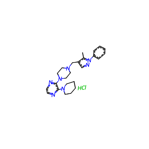 Cc1c(CN2CCN(c3nccnc3N3CCCCC3)CC2)cnn1-c1ccccc1.Cl